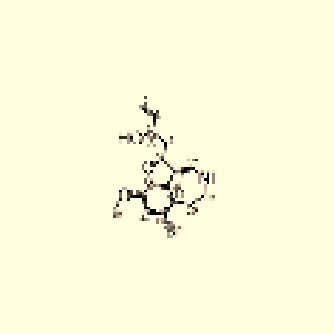 C=C[C@H](O)CC1Oc2c(OC)cc(Br)c3c2C1=CNCC3